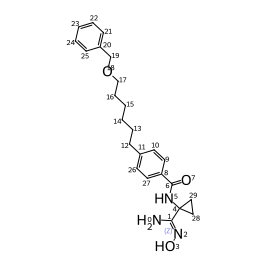 N/C(=N\O)C1(NC(=O)c2ccc(CCCCCCOCc3ccccc3)cc2)CC1